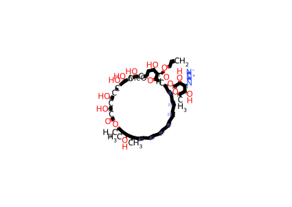 C=CCOC(=O)[C@H]1[C@@H]2C[C@@H](O[C@@H]3O[C@H](C)[C@@H](O)[C@H](N=[N+]=[N-])C3O)/C=C/C=C/C=C/C=C/C=C/C=C/C=C/[C@H](C)[C@@H](O)[C@@H](C)[C@H](C)OC(=O)C[C@H](O)C[C@H](O)CCC(O)[C@H](O)CC(O)C[C@](OC)(C[C@@H]1O)O2